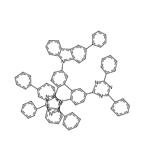 c1ccc(-c2ccc3c(c2)c2ccccc2n3-c2ccc(-c3nc(-c4ccccc4)nc(-c4ccccc4)n3)c(-c3cc(-c4nc(-c5ccccc5)nc(-c5ccccc5)n4)ccc3-n3c4ccccc4c4cc(-c5ccccc5)ccc43)c2)cc1